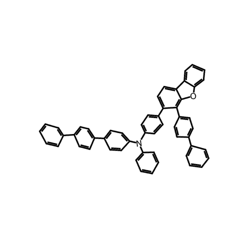 c1ccc(-c2ccc(-c3ccc(N(c4ccccc4)c4ccc(-c5ccc6c(oc7ccccc76)c5-c5ccc(-c6ccccc6)cc5)cc4)cc3)cc2)cc1